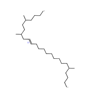 [CH2]CCCC(C)CCCCCCCCC/C=C/CC(C)CCC(C)CCC[CH2]